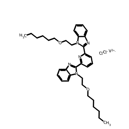 CCCCCCOCCn1c(-c2cccc(-c3nc4ccccc4n3CCOCCCCCC)n2)nc2ccccc21.[Cl-].[Cl-].[V+2]